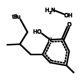 Cc1cc(CC(C)CC(C)(C)C)n(O)c(=O)c1.NO